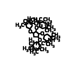 CC1(C)CC(OC2CC(OC3CC(C)(C)NC(C)(C)C3)C(OC3CC(C)(C)NC(C)(C)C3)C2OC2CC(C)(C)NC(C)(C)C2)CC(C)(C)N1